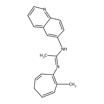 CC1=C(/N=C(\C)Nc2ccc3ncccc3c2)C=CCC=C1